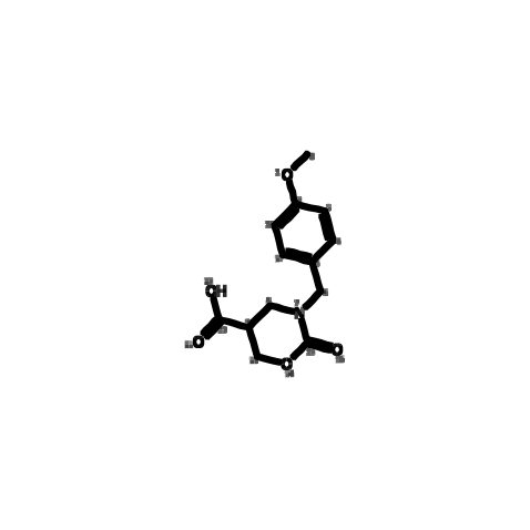 COc1ccc(CN2CC(C(=O)O)COC2=O)cc1